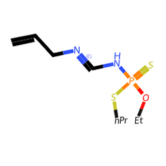 C=CC/N=C/NP(=S)(OCC)SCCC